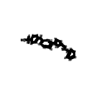 NS(=O)(=O)c1ccc(Nc2nccc(-c3ccc(CNc4ccccc4)s3)n2)cc1